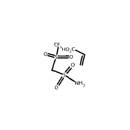 C=CC(=O)O.NS(=O)(=O)CS(=O)(=O)C(F)(F)F